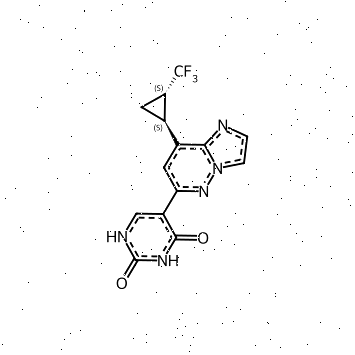 O=c1[nH]cc(-c2cc([C@H]3C[C@@H]3C(F)(F)F)c3nccn3n2)c(=O)[nH]1